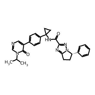 CC(C)n1cncc(-c2ccc(C3(NC(=O)c4nc5n(n4)[C@H](c4ccccc4)CC5)CC3)cc2)c1=O